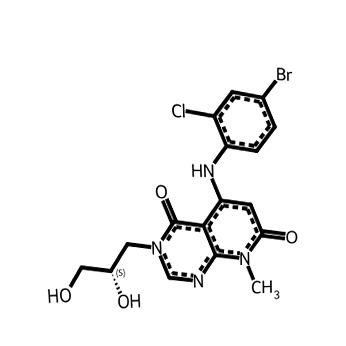 Cn1c(=O)cc(Nc2ccc(Br)cc2Cl)c2c(=O)n(C[C@H](O)CO)cnc21